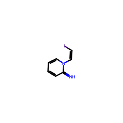 N=c1ccccn1/C=C\I